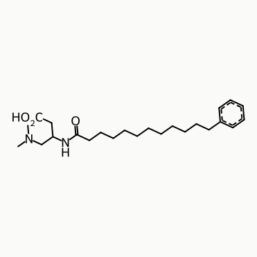 CN(C)CC(CC(=O)O)NC(=O)CCCCCCCCCCCc1ccccc1